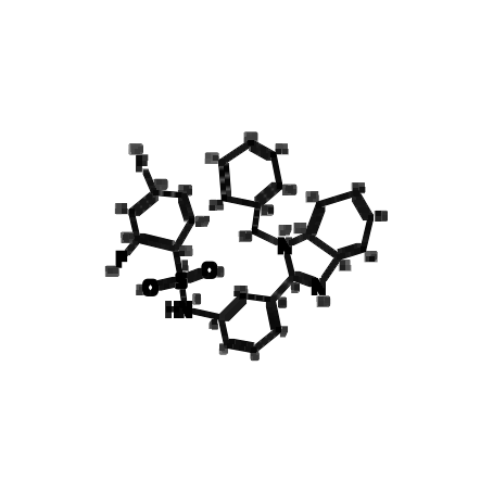 O=S(=O)(Nc1cccc(-c2nc3ccccc3n2Cc2ccccc2)c1)c1ccc(F)cc1F